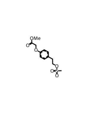 COC(=O)COc1ccc(CCOS(C)(=O)=O)cc1